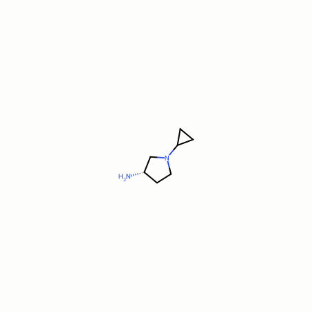 N[C@H]1CCN(C2CC2)C1